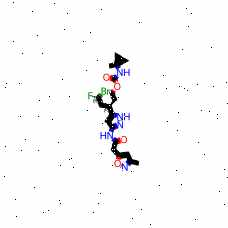 Cc1cc(CC(=O)Nc2cc([C@H](CCOC(=O)NC3(C)CC3)C[C@H](F)Br)[nH]n2)on1